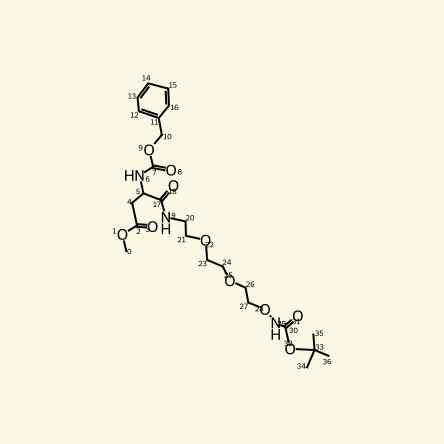 COC(=O)CC(NC(=O)OCc1ccccc1)C(=O)NCCOCCOCCONC(=O)OC(C)(C)C